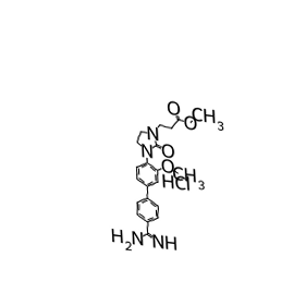 COC(=O)CCN1CCN(c2ccc(-c3ccc(C(=N)N)cc3)cc2OC)C1=O.Cl